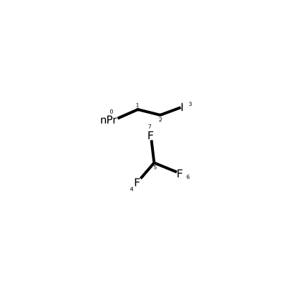 CCCCCI.FC(F)F